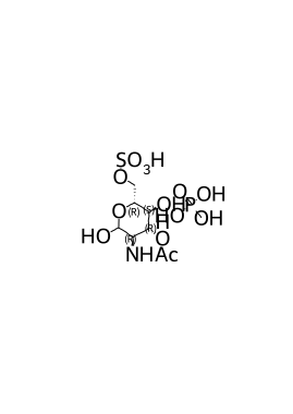 CC(=O)N[C@H]1C(O)O[C@H](COS(=O)(=O)O)[C@@H](O)[C@@H]1O.O=P(O)(O)O